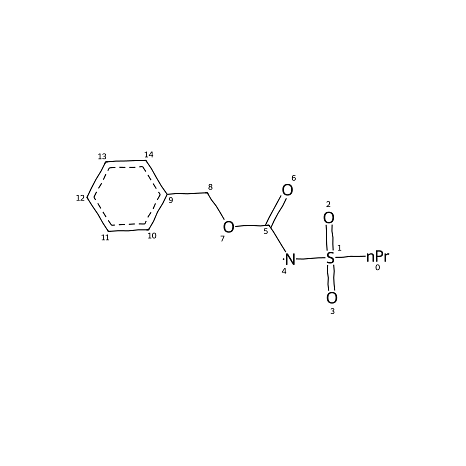 CCCS(=O)(=O)[N]C(=O)OCc1ccccc1